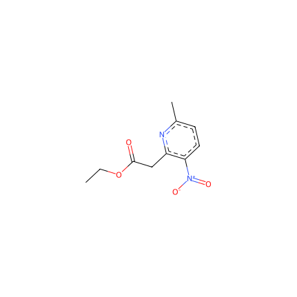 CCOC(=O)Cc1nc(C)ccc1[N+](=O)[O-]